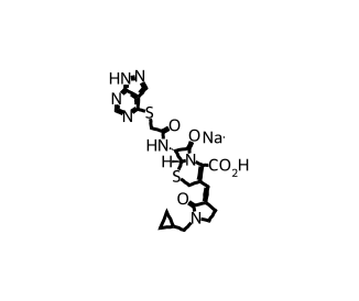 O=C(CSc1ncnc2[nH]ncc12)N[C@@H]1C(=O)N2C(C(=O)O)=C(C=C3CCN(CC4CC4)C3=O)CS[C@H]12.[Na]